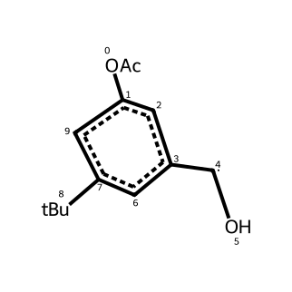 CC(=O)Oc1cc([CH]O)cc(C(C)(C)C)c1